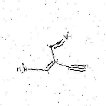 C#C/C(C=N)=C/N